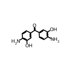 Nc1ccc(C(=O)c2ccc(N)c(O)c2)cc1O